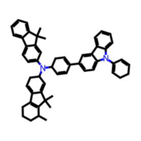 CC1CCCC2=C1C(C)(C)C1=CC(N(c3ccc4c(c3)C(C)(C)c3ccccc3-4)C3C=CC(c4ccc5c(c4)c4ccccc4n5C4=CCCC=C4)=CC3)CC=C12